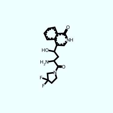 NC(CC(O)c1c[nH]c(=O)c2ccccc12)C(=O)N1CCC(F)(F)C1